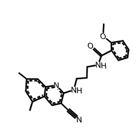 COc1ccccc1C(=O)NCCCNc1nc2cc(C)cc(C)c2cc1C#N